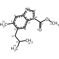 COC(=O)n1cnc2cc(C)c(CC(C)C)cc21